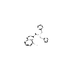 O=C(c1ccc2cccc(O)c2n1)N(Cc1cccs1)Cc1cccs1